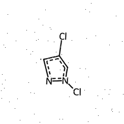 Clc1[c]nn(Cl)c1